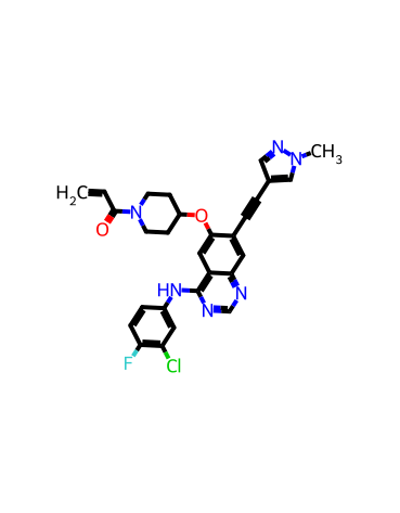 C=CC(=O)N1CCC(Oc2cc3c(Nc4ccc(F)c(Cl)c4)ncnc3cc2C#Cc2cnn(C)c2)CC1